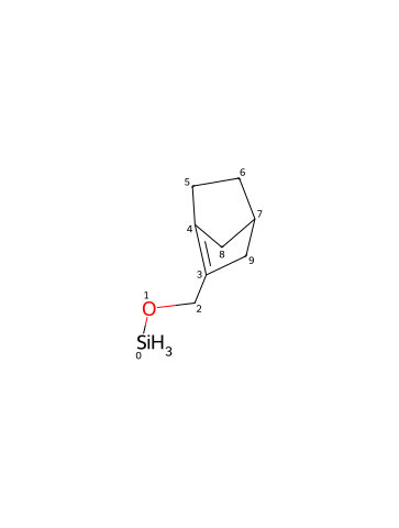 [SiH3]OCC1=C2CCC(C2)C1